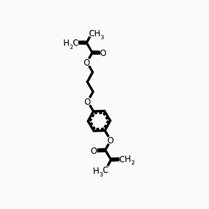 C=C(C)C(=O)OCCCOc1ccc(OC(=O)C(=C)C)cc1